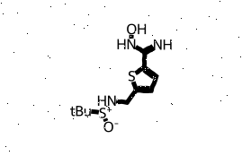 CC(C)(C)[S+]([O-])NCc1ccc(C(=N)NO)s1